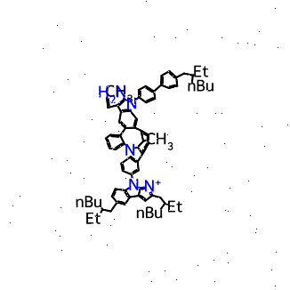 C/C=C\c1c(N)n(-c2ccc(-c3ccc(CC(CC)CCCC)cc3)cc2)c2cc3c(cc12)-c1ccccc1N1c2ccc(-n4c5c(c6cc(CC(CC)CCCC)ccc64)=CC(CC(CC)CCCC)=[N+]=5)cc2C2=CC=C3C(C)C21